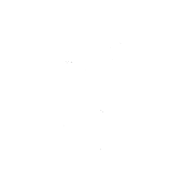 [2H]C([2H])([2H])Oc1cc2c(cc1OC)C1CC(O)C(OC(C)(C)C)CN1CC2